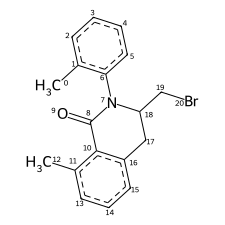 Cc1ccccc1N1C(=O)c2c(C)cccc2CC1CBr